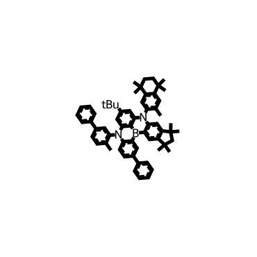 Cc1ccc(-c2ccccc2)cc1N1c2ccc(-c3ccccc3)cc2B2c3cc4c(cc3N(c3cc5c(cc3C)C(C)(C)CCC5(C)C)c3cc(C(C)(C)C)cc1c32)C(C)(C)CC4(C)C